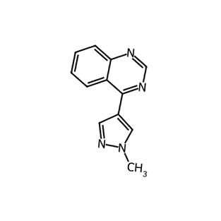 Cn1cc(-c2ncnc3ccccc23)cn1